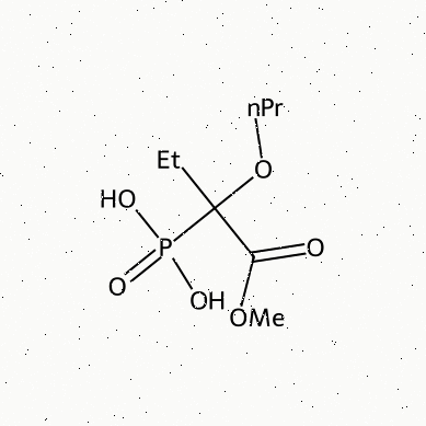 CCCOC(CC)(C(=O)OC)P(=O)(O)O